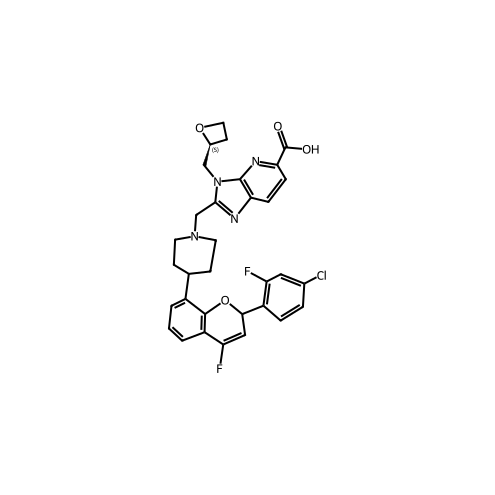 O=C(O)c1ccc2nc(CN3CCC(c4cccc5c4OC(c4ccc(Cl)cc4F)C=C5F)CC3)n(C[C@@H]3CCO3)c2n1